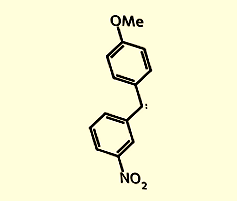 COc1ccc([C]c2cccc([N+](=O)[O-])c2)cc1